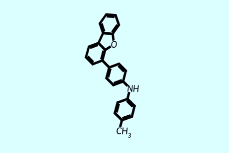 Cc1ccc(Nc2ccc(-c3cccc4c3oc3ccccc34)cc2)cc1